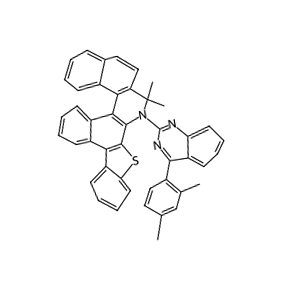 Cc1ccc(-c2nc(N3c4c(c5ccccc5c5c4sc4ccccc45)-c4c(ccc5ccccc45)C3(C)C)nc3ccccc23)c(C)c1